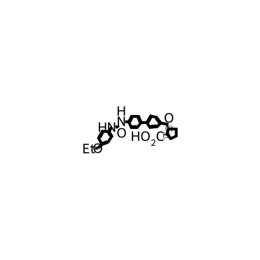 CCOc1ccc(NC(=O)Nc2ccc(-c3ccc(C(=O)[C@H]4CCC[C@@H]4C(=O)O)cc3)cc2)cc1